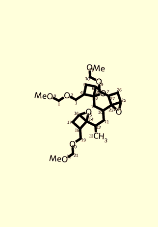 COCOCC1CC2OC12CC(CC(C)C12OC1CC2COCOC)C12OC1CC2COCOC